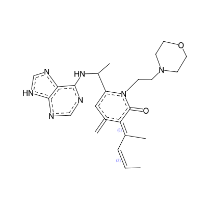 C=c1cc(C(C)Nc2ncnc3[nH]cnc23)n(CCN2CCOCC2)c(=O)/c1=C(C)/C=C\C